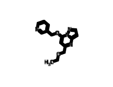 CCOCc1cc(OCc2cccnc2)n2nccc2n1